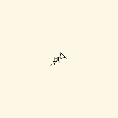 S=[PH]1CC1